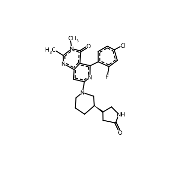 Cc1nc2cc(N3CCC[C@H](C4CNC(=O)C4)C3)nc(-c3ccc(Cl)cc3F)c2c(=O)n1C